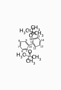 CC(C)(C)Oc1ccccc1-c1ccccc1OC(C)(C)C